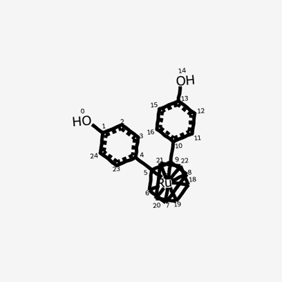 Oc1ccc([C]23[CH]4[CH]5[CH]6[C]2(c2ccc(O)cc2)[Ru]54632789[CH]3[CH]2[CH]7[CH]8[CH]39)cc1